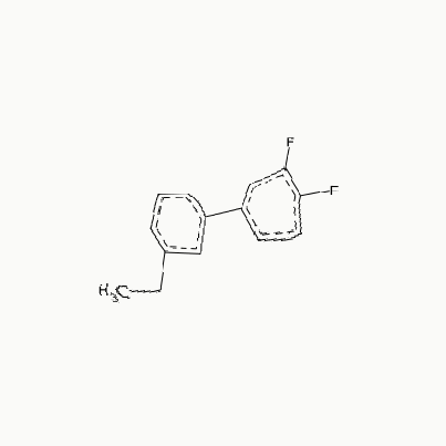 CCc1cccc(-c2ccc(F)c(F)c2)c1